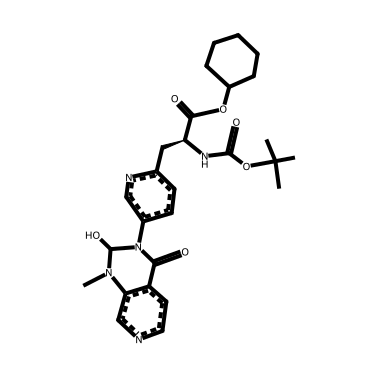 CN1c2cnccc2C(=O)N(c2ccc(C[C@H](NC(=O)OC(C)(C)C)C(=O)OC3CCCCC3)nc2)C1O